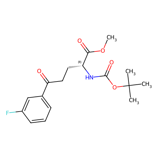 COC(=O)[C@@H](CCC(=O)c1cccc(F)c1)NC(=O)OC(C)(C)C